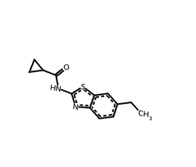 CCc1ccc2nc(NC(=O)C3CC3)sc2c1